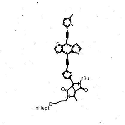 CCCCCCCOCCCN1C(=O)C2=C(c3ccc(C#Cc4c5ccsc5c(C#Cc5ccc(C)s5)c5ccsc45)s3)N(CCCC)C(=O)C2=C1C